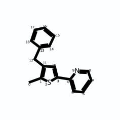 Cc1sc(-c2ccccn2)cc1Cc1ccccc1